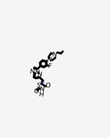 CCCN1CCN(c2ccc(-c3cnc4ccc(/C=C5\SC(=O)NC5=O)nn34)cc2F)CC1